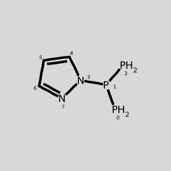 PP(P)n1cccn1